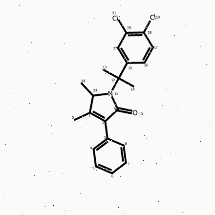 CC1=C(c2ccccc2)C(=O)N(C(C)(C)c2ccc(Cl)c(Cl)c2)C1C